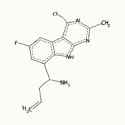 C=CCC(N)c1cc(F)cc2c1[nH]c1nc(C)nc(Cl)c12